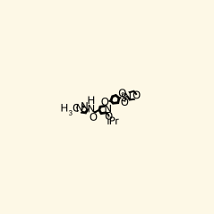 CC(C)Oc1cc(C(=O)Nc2ccn(C)n2)cc(Oc2ccc(S(=O)(=O)N3CCOCC3)cc2)n1